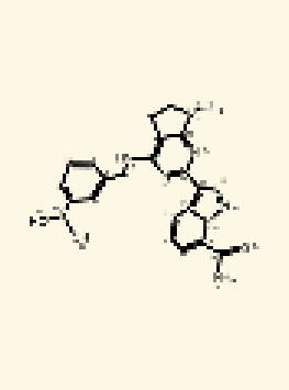 CN1CCc2c(NCc3cccc(B(O)O)c3)nc(-c3nnn4c(C(N)=O)cccc34)nc21